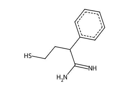 N=C(N)[C](CCS)c1ccccc1